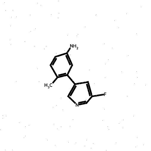 Cc1ccc(N)cc1-c1cncc(F)c1